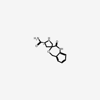 NC(=O)[C@@H]1CC2(CN1)OCc1ccccc1NC2=O